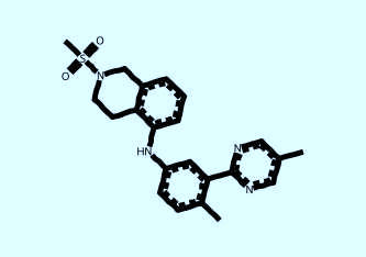 Cc1cnc(-c2cc(Nc3cccc4c3CCN(S(C)(=O)=O)C4)ccc2C)nc1